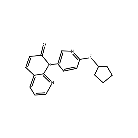 O=c1ccc2cccnc2n1-c1ccc(NC2CCCC2)nc1